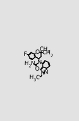 CCn1cc2c(N(C(N)=O)C3CC(C)(C)Oc4cc(F)ccc43)cccc2n1